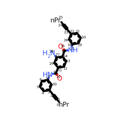 CCCC#Cc1cccc(NC(=O)c2ccc(C(=O)Nc3cccc(C#CCCC)c3)c(N)c2)c1